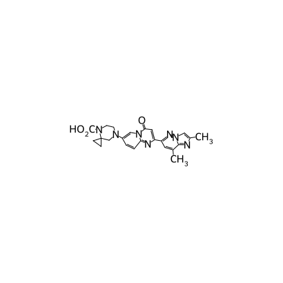 Cc1cn2nc(-c3cc(=O)n4cc(N5CCN(C(=O)O)C6(CC6)C5)ccc4n3)cc(C)c2n1